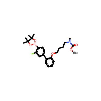 CN(CCCCOc1ccccc1-c1ccc(B2OC(C)(C)C(C)(C)O2)c(F)c1)C(=O)OC(C)(C)C